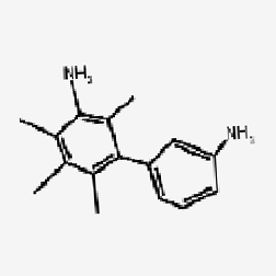 Cc1c(C)c(N)c(C)c(-c2cccc(N)c2)c1C